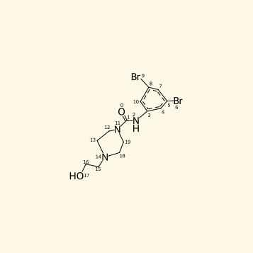 O=C(Nc1cc(Br)cc(Br)c1)N1CCN(CCO)CC1